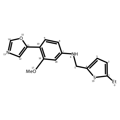 CCc1ccc(CNc2ccc(-c3cnco3)c(OC)c2)s1